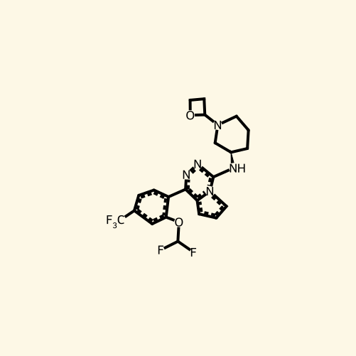 FC(F)Oc1cc(C(F)(F)F)ccc1-c1nnc(N[C@@H]2CCCN(C3CCO3)C2)n2cccc12